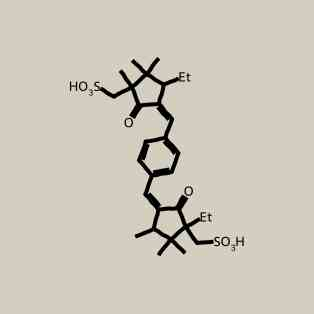 CCC1/C(=C/c2ccc(/C=C3\C(=O)C(CC)(CS(=O)(=O)O)C(C)(C)C3C)cc2)C(=O)C(C)(CS(=O)(=O)O)C1(C)C